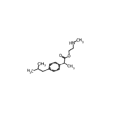 CNCCOC(=O)C(C)c1ccc(CC(C)C)cc1